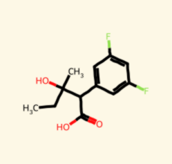 CCC(C)(O)C(C(=O)O)c1cc(F)cc(F)c1